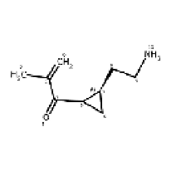 C=C(C)C(=O)C1C[C@@H]1CCN